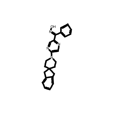 ON=C(c1ccccc1)c1cnc(N2CCC3(CC2)Cc2ccccc2C3)cn1